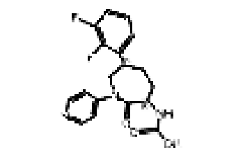 O=C(O)N[C@@H]1CC[C@@H](c2cccc(F)c2F)CN(c2ccncc2)C1=O